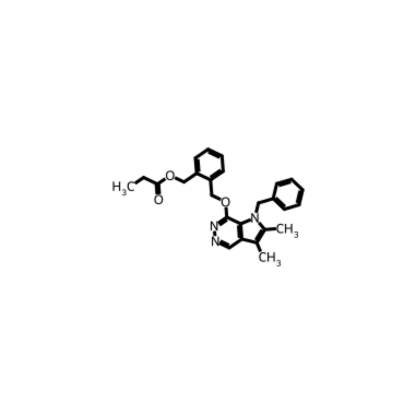 CCC(=O)OCc1ccccc1COc1nncc2c(C)c(C)n(Cc3ccccc3)c12